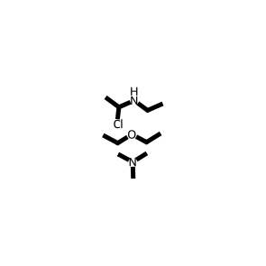 CCNC(C)Cl.CCOCC.CN(C)C